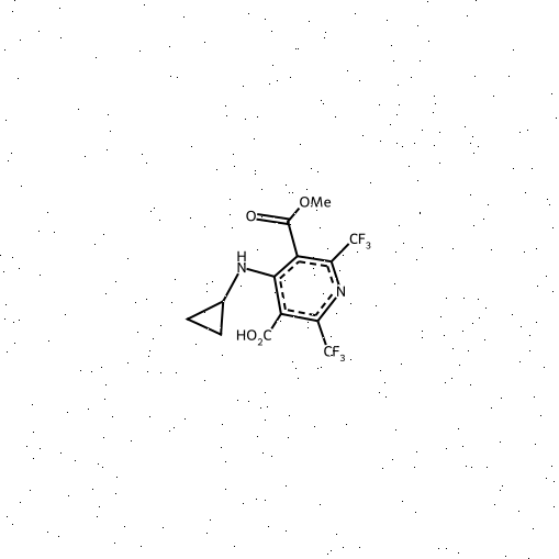 COC(=O)c1c(C(F)(F)F)nc(C(F)(F)F)c(C(=O)O)c1NC1CC1